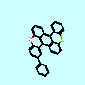 c1ccc(-c2ccc3oc4cccc5c4c(c3c2)c2cccc3sc4ccccc4c5c32)cc1